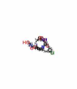 C[C@@H]1[C@@H](C)C/C=C/[C@H](OCC(=O)N2CC(O)C2)[C@@H]2CC[C@H]2CN2CCCCc3cc(Cl)ccc3COc3ccc(cc32)C(=O)NS1(=O)=O